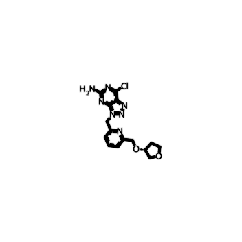 Nc1nc(Cl)c2nnn(Cc3cccc(CO[C@@H]4CCOC4)n3)c2n1